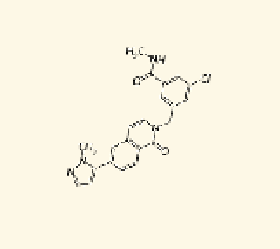 CNC(=O)c1cc(Cl)cc(Cn2ccc3cc(-c4ccnn4C)ccc3c2=O)c1